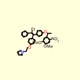 CC/C(=C(/c1ccc(OCCn2cccc2)cc1)c1ccc(OC(C)c2cc(OC)c(OC)cc2[N+](=O)[O-])cc1)c1ccccc1